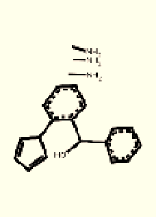 CN.CN.CN.OC(c1ccccc1)c1ccccc1C1C=CC=C1